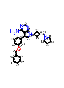 Nc1ncnc2c1c(-c1cccc(OCc3ccccc3)c1)cn2[C@H]1C[C@H](CN2CCCC2)C1